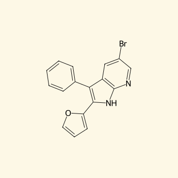 Brc1cnc2[nH]c(-c3ccco3)c(-c3ccccc3)c2c1